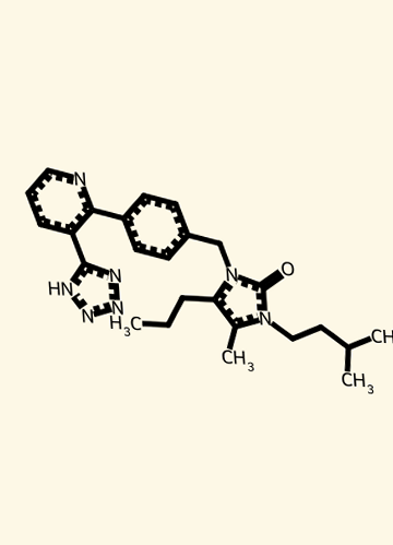 CCCc1c(C)n(CCC(C)C)c(=O)n1Cc1ccc(-c2ncccc2-c2nnn[nH]2)cc1